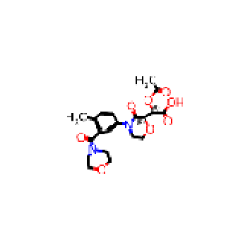 CC(=O)O[C@@H](C(=O)O)[C@H]1OCCN(c2ccc(C)c(C(=O)N3CCOCC3)c2)C1=O